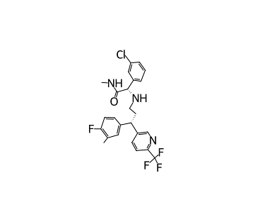 CNC(=O)[C@@H](NCC[C@H](c1ccc(C(F)(F)F)nc1)c1ccc(F)c(C)c1)c1cccc(Cl)c1